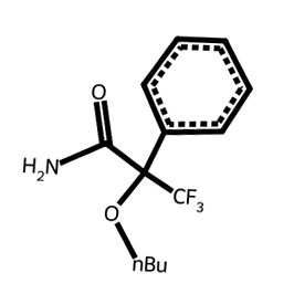 CCCCOC(C(N)=O)(c1ccccc1)C(F)(F)F